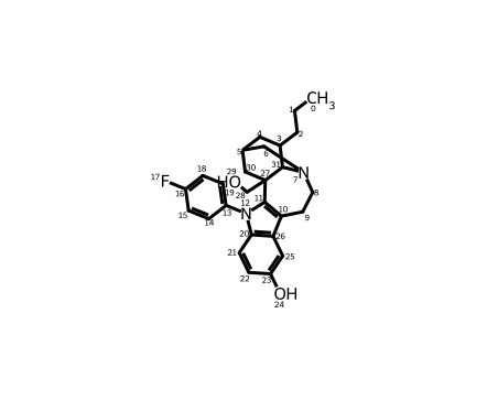 CCCC1CC2CN3CCc4c(n(-c5ccc(F)cc5)c5ccc(O)cc45)C(CO)(C2)C13